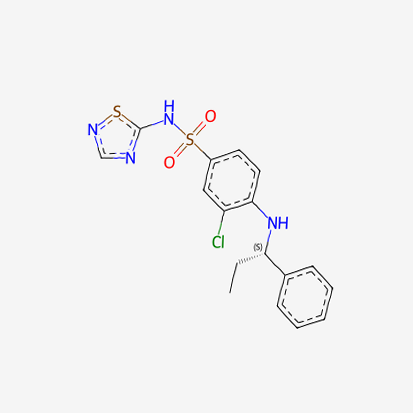 CC[C@H](Nc1ccc(S(=O)(=O)Nc2ncns2)cc1Cl)c1ccccc1